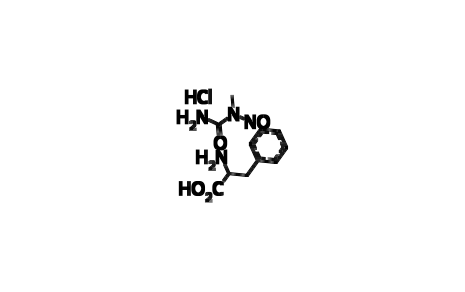 CN(N=O)C(N)=O.Cl.NC(Cc1ccccc1)C(=O)O